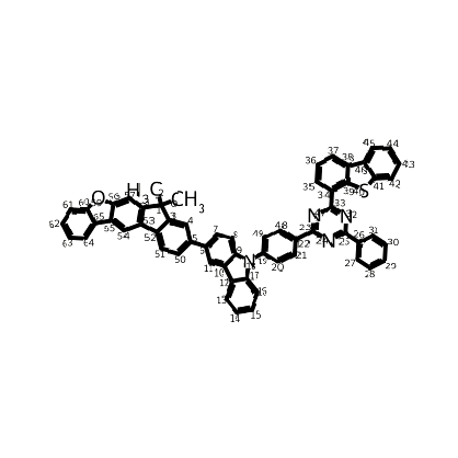 CC1(C)c2cc(-c3ccc4c(c3)c3ccccc3n4-c3ccc(-c4nc(-c5ccccc5)nc(-c5cccc6c5sc5ccccc56)n4)cc3)ccc2-c2cc3c(cc21)oc1ccccc13